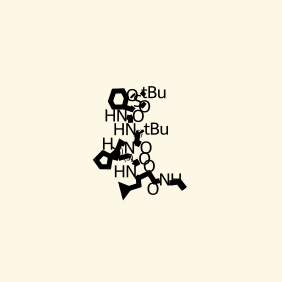 C=CCNC(=O)C(=O)C(CC1CC1)NC(=O)[C@@H]1C2[C@H](CN1C(=O)[C@@H](NC(=O)NC1(CS(=O)(=O)C(C)(C)C)CCCCC1)C(C)(C)C)C21CCCC1